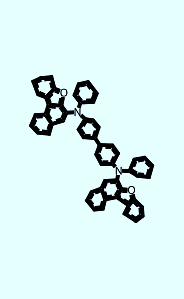 c1ccc(N(c2ccc(-c3ccc(N(c4ccccc4)c4cc5ccccc5c5c4oc4ccccc45)cc3)cc2)c2cc3ccccc3c3c2oc2ccccc23)cc1